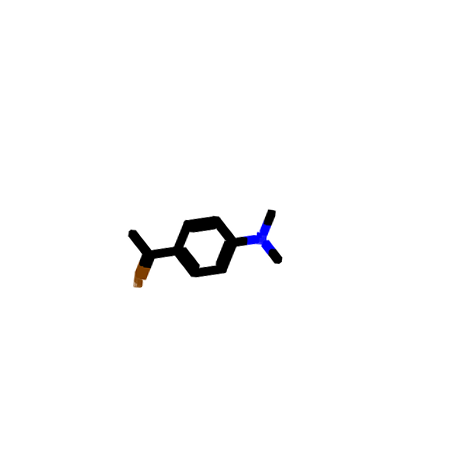 CC(=S)c1ccc(N(C)C)cc1